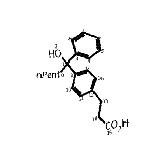 CCCCCC(O)(c1ccccc1)c1ccc(CCC(=O)O)cc1